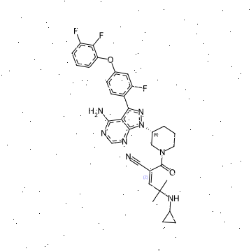 CC(C)(/C=C(/C#N)C(=O)N1CCC[C@@H](n2nc(-c3ccc(Oc4cccc(F)c4F)cc3F)c3c(N)ncnc32)C1)NC1CC1